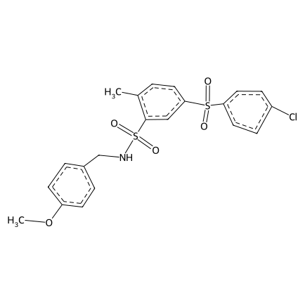 COc1ccc(CNS(=O)(=O)c2cc(S(=O)(=O)c3ccc(Cl)cc3)ccc2C)cc1